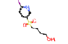 O=S(=O)(CCCCO)c1ccc(I)nc1